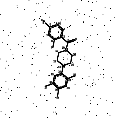 C=C(c1cnc(F)cc1C)N1CCN(c2cc(C)c(C)cc2C)CC1